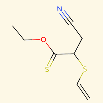 C=CSC(CC#N)C(=S)OCC